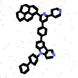 c1ccc(-c2ccc(-n3c4ccncc4c4cc(-c5ccc(-c6cc(-c7ccncc7)nc(-c7ccc8ccc9cccc%10ccc7c8c9%10)c6)cc5)ccc43)cc2)cc1